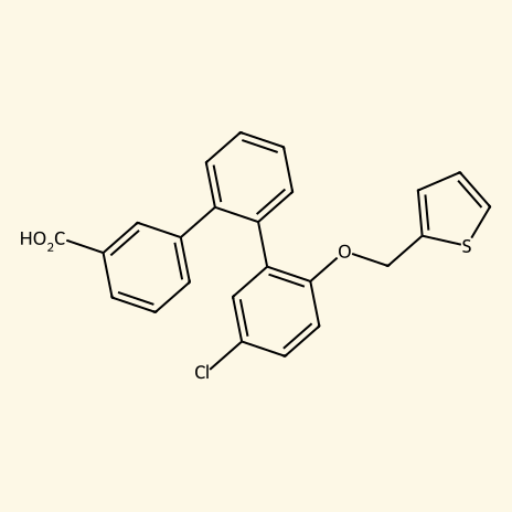 O=C(O)c1cccc(-c2ccccc2-c2cc(Cl)ccc2OCc2cccs2)c1